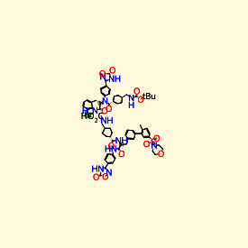 CC(C)(C)OC(=O)NC[C@H]1CC[C@H](C(=O)N(c2ccc(-c3noc(=O)[nH]3)cc2)[C@@H](Cc2cccc(Br)c2)C(N)=O)CC1.Cc1ccc(S(=O)(=O)N2CCOCC2)cc1-c1cccc(C[C@H](NC(=O)[C@H]2CC[C@H](CNC(=O)O)CC2)C(=O)Nc2ccc(-c3noc(=O)[nH]3)cc2)c1